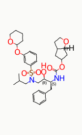 CC(C)CN(C[C@@H](O)[C@H](Cc1ccccc1)NC(=O)OC1CC2CCO[C@@H]2C1)S(=O)(=O)c1cccc(OC2CCCCO2)c1